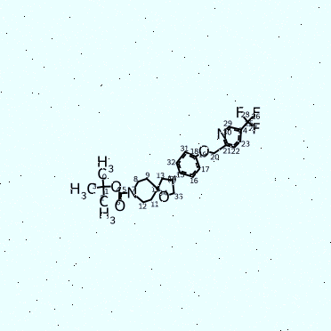 CC(C)(C)OC(=O)N1CCC2(CC1)C[C@H](c1ccc(OCc3ccc(C(F)(F)F)cn3)cc1)CO2